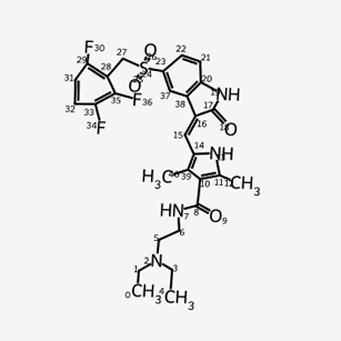 CCN(CC)CCNC(=O)c1c(C)[nH]c(/C=C2\C(=O)Nc3ccc(S(=O)(=O)Cc4c(F)ccc(F)c4F)cc32)c1C